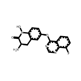 NC1Cc2cc(Oc3ncnc4c(F)cccc34)ccc2N(O)C1=O